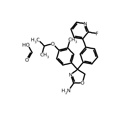 Cc1cc(C2(c3cccc(-c4cccnc4F)c3)COC(N)=N2)ccc1OC(C)C.O=CO